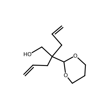 C=CCC(CO)(CC=C)C1OCCCO1